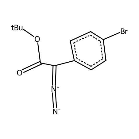 CC(C)(C)OC(=O)C(=[N+]=[N-])c1ccc(Br)cc1